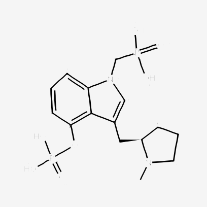 CN1CCC[C@@H]1Cc1cn(CP(=O)(O)O)c2cccc(OP(=O)(O)O)c12